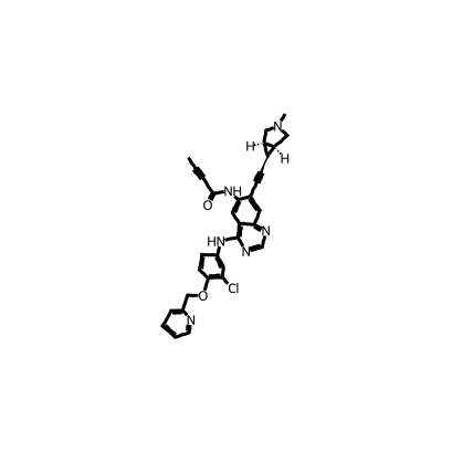 CC#CC(=O)Nc1cc2c(Nc3ccc(OCc4ccccn4)c(Cl)c3)ncnc2cc1C#C[C@H]1[C@H]2CN(C)C[C@@H]12